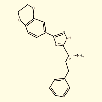 N[C@H](CCc1ccccc1)c1nc(-c2ccc3c(c2)OCCO3)n[nH]1